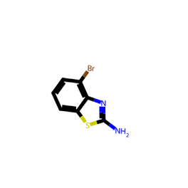 Nc1nc2c(Br)cccc2s1